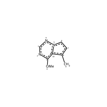 COc1ncnn2ccc(C)c12